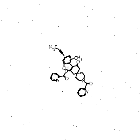 CC#Cc1cc(C)c(C2=C(OC(=O)c3ccccn3)CC3(CCN(C(=O)c4ccccn4)CC3)CC2=O)c(C)c1